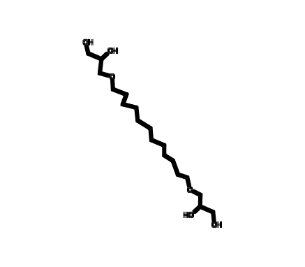 OCC(O)COCCCCCCCCCCCCOCC(O)CO